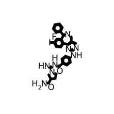 N=C(NC(=O)c1ccc(Nc2ncc3c(n2)-c2ccc(I)cc2C(c2ccccc2F)=NC3)cc1)N1CCC(C(N)=O)C1